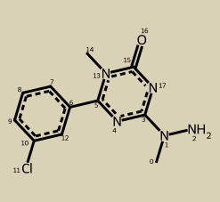 CN(N)c1nc(-c2cccc(Cl)c2)n(C)c(=O)n1